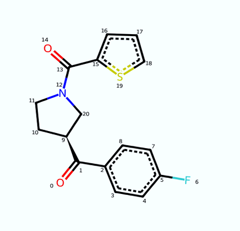 O=C(c1ccc(F)cc1)[C@H]1CCN(C(=O)c2cccs2)C1